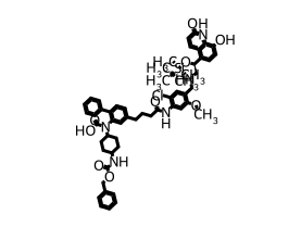 COc1cc(NC(=O)CCCc2ccc(-c3ccccc3)c(N(C(=O)O)C3CCC(NC(=O)OCc4ccccc4)CC3)c2)c(Cl)cc1CNC[C@@H](O[Si](C)(C)C(C)(C)C)c1ccc(O)c2[nH]c(=O)ccc12